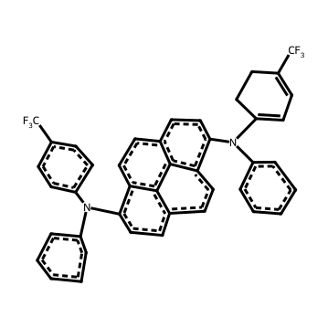 FC(F)(F)C1=CC=C(N(c2ccccc2)c2ccc3ccc4c(N(c5ccccc5)c5ccc(C(F)(F)F)cc5)ccc5ccc2c3c54)CC1